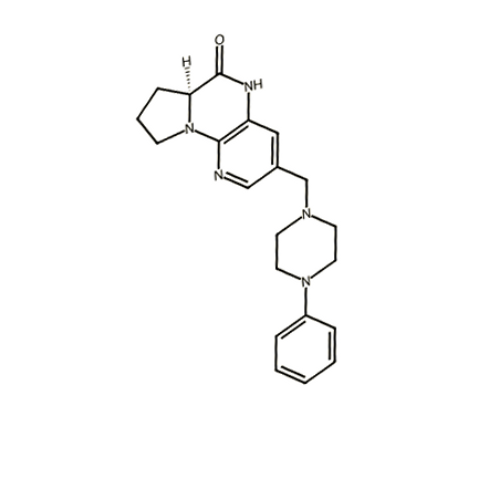 O=C1Nc2cc(CN3CCN(c4ccccc4)CC3)cnc2N2CCC[C@@H]12